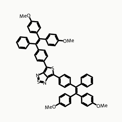 COc1ccc(C(=C(c2ccccc2)c2ccc(-c3sc(-c4ccc(C(=C(c5ccc(OC)cc5)c5ccc(OC)cc5)c5ccccc5)cc4)c4c3N=S=N4)cc2)c2ccc(OC)cc2)cc1